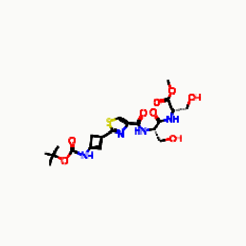 COC(=O)[C@H](CO)NC(=O)[C@H](CO)NC(=O)c1csc(C23CC(NC(=O)OC(C)(C)C)(C2)C3)n1